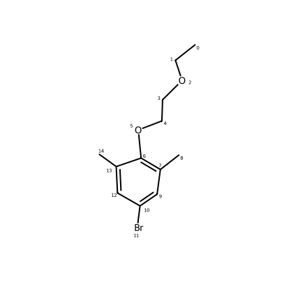 CCOCCOc1c(C)cc(Br)cc1C